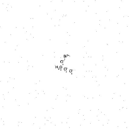 O.[Bi+3].[Cl-].[Cl-].[Cl-]